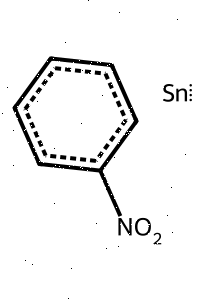 O=[N+]([O-])c1ccccc1.[Sn]